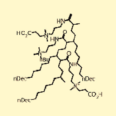 C=C(NCCC[N+](C)(C)CCC(=O)O)C(C)CCC(CCCCCCCCCCCCCCCC)C(CCC(CCCCCCCCCCCCCCCC)C(CCC(C)CCCCCCCCCCCCCCCC)C(=O)NCCC[N+](C)(C)CCC(=O)O)C(=O)NCCC[N+](C)(C)CCCC